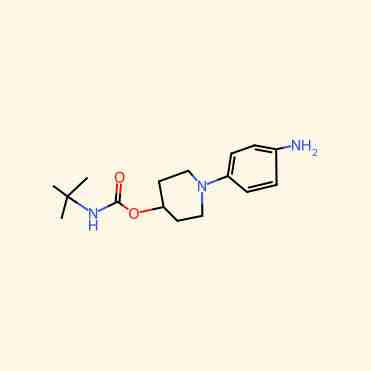 CC(C)(C)NC(=O)OC1CCN(c2ccc(N)cc2)CC1